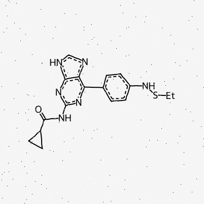 CCSNc1ccc(-c2nc(NC(=O)C3CC3)nc3[nH]cnc23)cc1